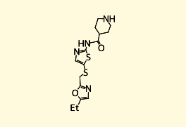 CCc1cnc(CSc2cnc(NC(=O)C3CCNCC3)s2)o1